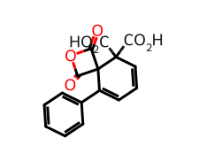 O=C(O)C1(C(=O)O)C=CC=C(c2ccccc2)C12C(=O)OC2=O